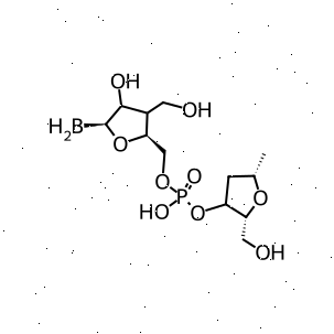 B[C@@H]1O[C@H](COP(=O)(O)OC2C[C@H](C)O[C@@H]2CO)C(CO)C1O